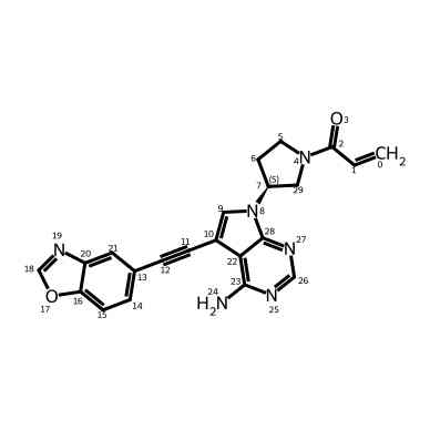 C=CC(=O)N1CC[C@H](n2cc(C#Cc3ccc4ocnc4c3)c3c(N)ncnc32)C1